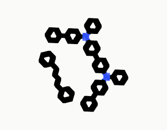 C(/C=C/c1ccccc1)=C\c1ccccc1.c1ccc(-c2ccc(N(c3ccccc3)c3ccc(-c4ccc(N(c5ccccc5)c5ccc(-c6ccccc6)cc5)cc4)cc3)cc2)cc1